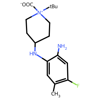 Cc1cc(NC2CC[N+](C(=O)[O-])(C(C)(C)C)CC2)c(N)cc1F